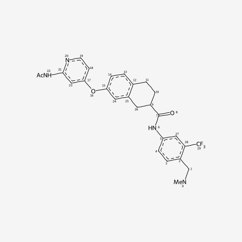 CNCc1ccc(NC(=O)C2CCc3ccc(Oc4ccnc(NC(C)=O)c4)cc3C2)cc1C(F)(F)F